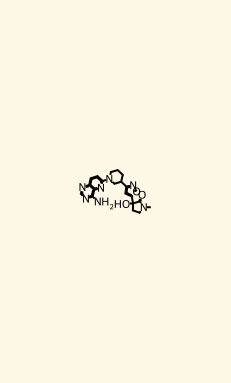 CN1CCC(O)(c2cc(C3CCCN(c4ccc5ncnc(N)c5n4)C3)no2)C1=O